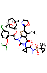 Cc1c(-c2ncco2)sc2c1c(=O)n(C1(C(=O)NS(=O)(=O)C3(C)CC3)CC1)c(=O)n2C[C@H](O[C@H]1C[C@H]2CC[C@@H](C1)O2)c1cc(F)ccc1OC(F)F